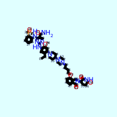 CCc1cc(Nc2ncc(C(N)=O)c(Nc3ccccc3P(C)(C)=O)n2)c(OC)cc1N1CCC(N2CCN(CCCCOc3cccc4c3CN(C3CCC(=O)NC3=O)C4=O)CC2)CC1